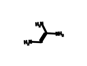 N[C]=C(N)N